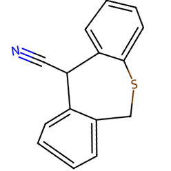 N#CC1c2ccccc2CSc2ccccc21